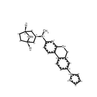 CN(c1ccc2c(n1)OCc1cc(-n3cccn3)ccc1-2)[C@@H]1C[C@H]2CC[C@@H](C1)N2